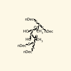 CCCCCCCCCCCCSCCN(CCSCCCCCCCCCCCC)CCN(C)C(=O)CCN(CCO)CCN(CCO)CCC(=O)N(C)CCN(CCSCCCCCCCCCCCC)CCSCCCCCCCCCCCC